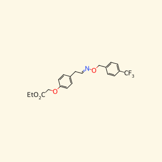 CCOC(=O)COc1ccc(CC=NOCc2ccc(C(F)(F)F)cc2)cc1